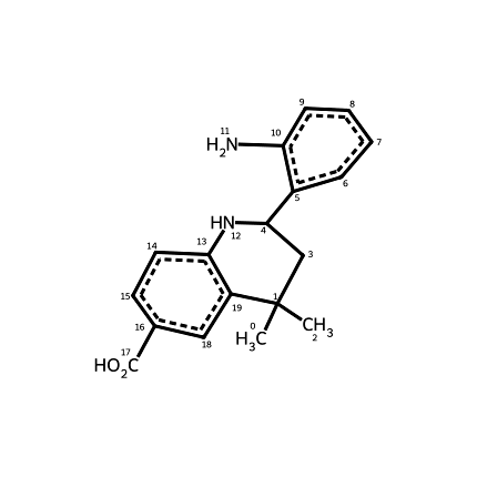 CC1(C)CC(c2ccccc2N)Nc2ccc(C(=O)O)cc21